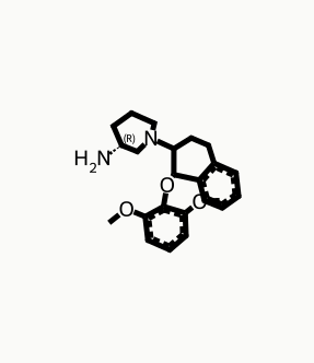 COc1cccc(OC)c1OC1c2ccccc2CCC1N1CCC[C@@H](N)C1